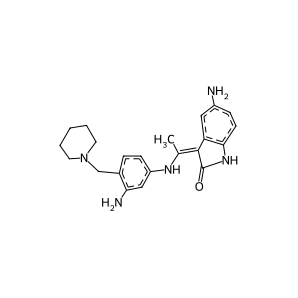 C/C(Nc1ccc(CN2CCCCC2)c(N)c1)=C1/C(=O)Nc2ccc(N)cc21